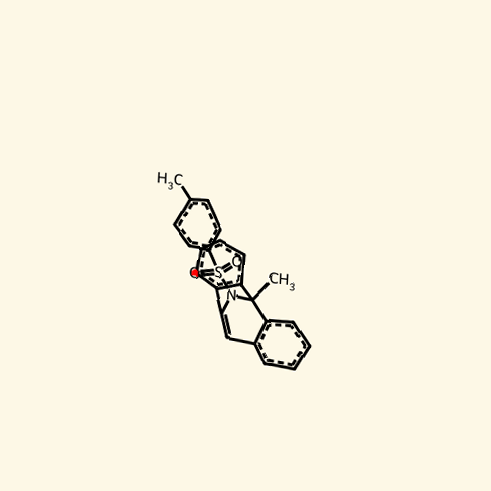 Cc1ccc(S(=O)(=O)N2C3=Cc4ccccc4C2(C)c2ccccc23)cc1